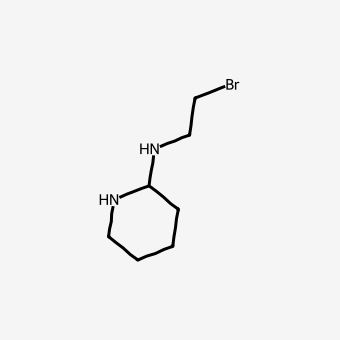 BrCCNC1CCCCN1